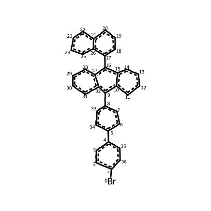 Brc1ccc(-c2ccc(-c3c4ccccc4c(-c4cccc5ccccc45)c4ccccc34)cc2)cc1